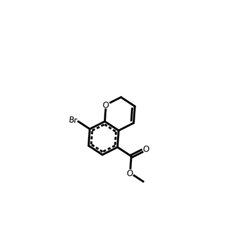 COC(=O)c1ccc(Br)c2c1C=CCO2